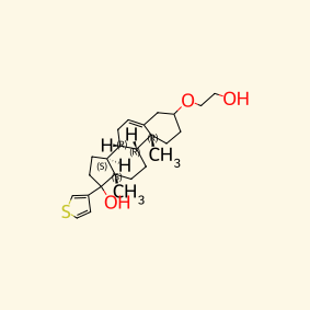 C[C@]12CCC(OCCO)CC1=CC[C@@H]1[C@H]2CC[C@@]2(C)[C@H]1CCC2(O)c1ccsc1